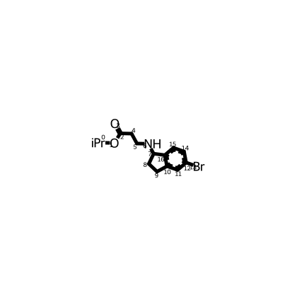 CC(C)OC(=O)CCNC1CCc2cc(Br)ccc21